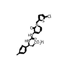 Cc1ccc([C@H](CC(=O)O)NC(=O)Nc2cccn(Cc3ccc(Cl)s3)c2=O)cc1